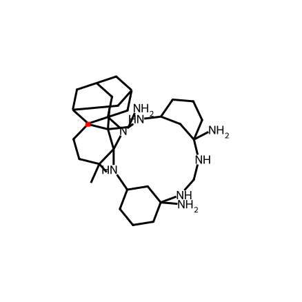 CC1(C)CCCC(C)(CN)C12NC1CCCC(N)(C1)NCNC1(N)CCCC(C1)NN2C12CC3CC(CC(C3)C1)C2